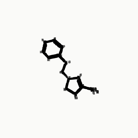 NC1=N[C@@H](CSc2ccncc2)CS1